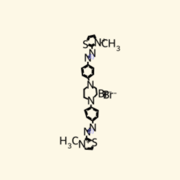 C[n+]1ccsc1/N=N/c1ccc(N2CCN(c3ccc(/N=N/c4scc[n+]4C)cc3)CC2)cc1.[Br-].[Br-]